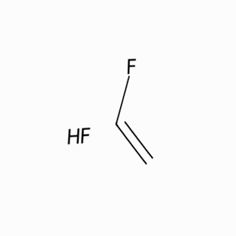 C=CF.F